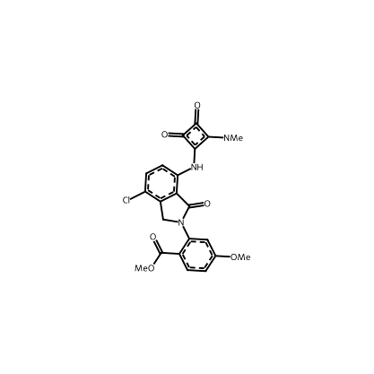 CNc1c(Nc2ccc(Cl)c3c2C(=O)N(c2cc(OC)ccc2C(=O)OC)C3)c(=O)c1=O